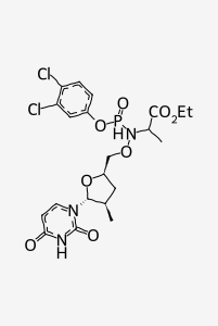 CCOC(=O)C(C)N(OC[C@H]1C[C@@H](C)[C@H](n2ccc(=O)[nH]c2=O)O1)[PH](=O)Oc1ccc(Cl)c(Cl)c1